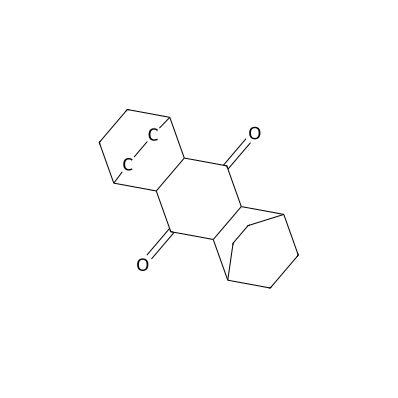 O=C1C2C3CCC(CC3)C2C(=O)C2C3CCC(CC3)C12